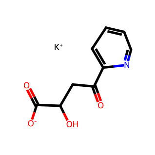 O=C(CC(O)C(=O)[O-])c1ccccn1.[K+]